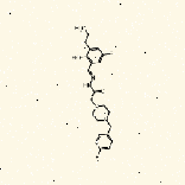 CCCc1cc(F)cc(/C=N/NC(=O)CN2CCN(Cc3ccc(F)cc3)CC2)c1O